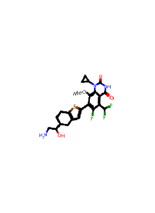 COc1c(-c2cc3c(s2)CCC(C(O)CN)C3)c(F)c(C(F)F)c2c(=O)[nH]c(=O)n(C3CC3)c12